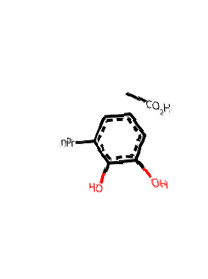 CC(=O)O.CCCc1cccc(O)c1O